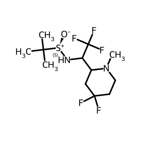 CN1CCC(F)(F)CC1C(N[S@+]([O-])C(C)(C)C)C(F)(F)F